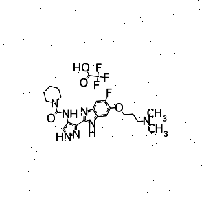 CN(C)CCCOc1cc2[nH]c(-c3n[nH]cc3NC(=O)N3CCCCC3)nc2cc1F.O=C(O)C(F)(F)F